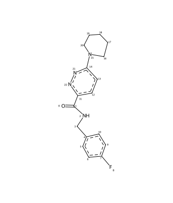 O=C(NCc1ccc(F)cc1)c1ccc(N2CCCCC2)nn1